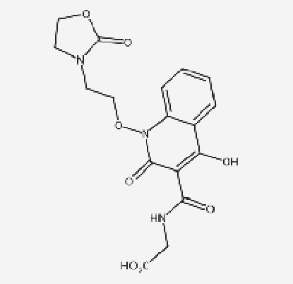 O=C(O)CNC(=O)c1c(O)c2ccccc2n(OCCN2CCOC2=O)c1=O